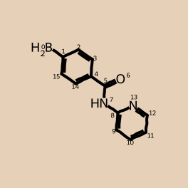 Bc1ccc(C(=O)Nc2ccccn2)cc1